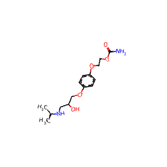 CC(C)NCC(O)COc1ccc(OCCOC(N)=O)cc1